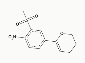 CS(=O)(=O)c1cc(C2=CCCCO2)ccc1[N+](=O)[O-]